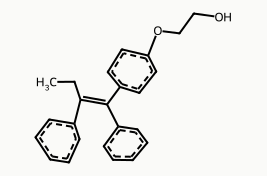 CCC(=C(c1ccccc1)c1ccc(OCCO)cc1)c1ccccc1